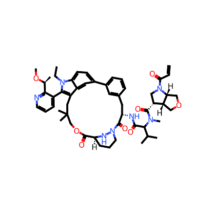 C=CC(=O)N1C[C@@H](C(=O)N(C)C(C(=O)N[C@H]2Cc3cccc(c3)-c3ccc4c(c3)c(c(-c3cccnc3[C@H](C)OC)n4CC)CC(C)(C)COC(=O)[C@@H]3CCCN(N3)C2=O)C(C)C)[C@H]2COC[C@H]21